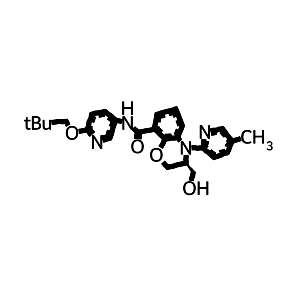 Cc1ccc(N2c3cccc(C(=O)Nc4ccc(OCC(C)(C)C)nc4)c3OC[C@@H]2CO)nc1